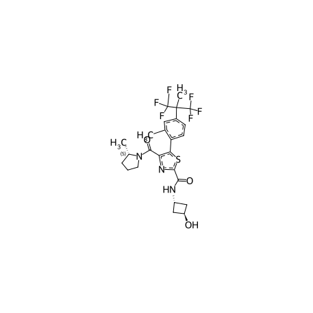 Cc1cc(C(C)(C(F)(F)F)C(F)(F)F)ccc1-c1sc(C(=O)N[C@H]2C[C@H](O)C2)nc1C(=O)N1CCC[C@@H]1C